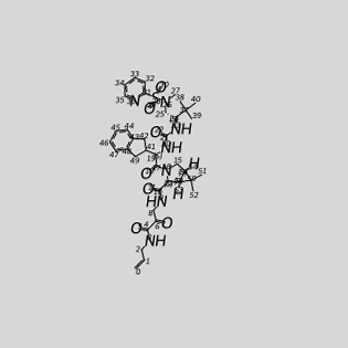 C=CCNC(=O)C(=O)CNC(=O)[C@@H]1[C@@H]2[C@H](CN1C(=O)[C@@H](NC(=O)N[C@H](CN(C)S(=O)(=O)c1ccccn1)C(C)(C)C)C1Cc3ccccc3C1)C2(C)C